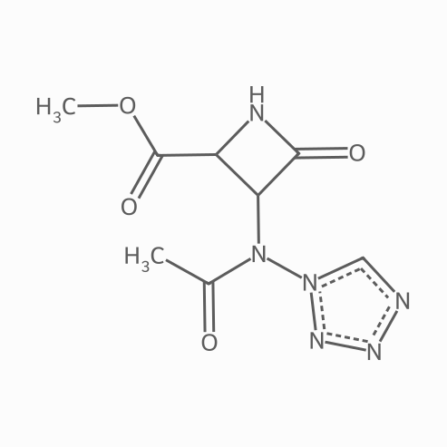 COC(=O)C1NC(=O)C1N(C(C)=O)n1cnnn1